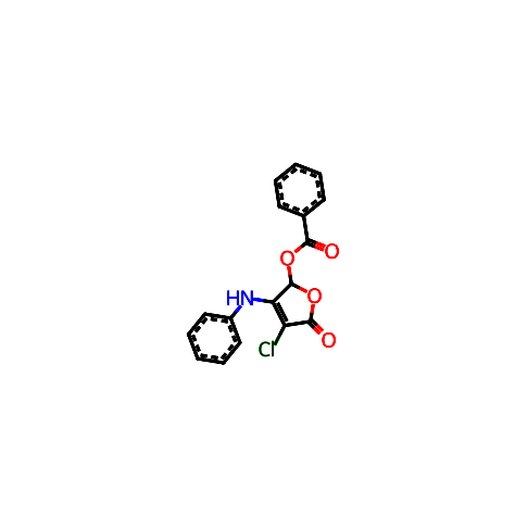 O=C1OC(OC(=O)c2ccccc2)C(Nc2ccccc2)=C1Cl